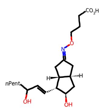 CCCCCC(O)C=C[C@@H]1[C@@H]2C/C(=N/OCCCC(=O)O)C[C@H]2C[C@H]1O